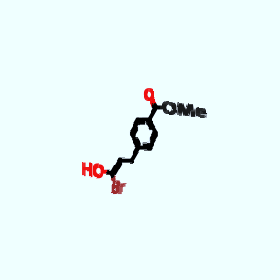 COC(=O)c1ccc(CC=C(O)Br)cc1